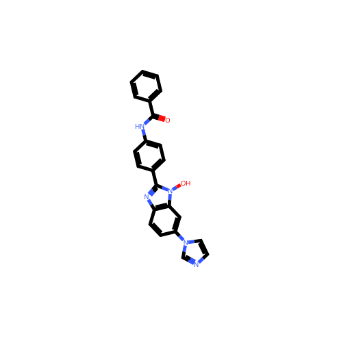 O=C(Nc1ccc(-c2nc3ccc(-n4ccnc4)cc3n2O)cc1)c1ccccc1